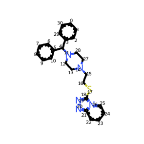 c1ccc(C(c2ccccc2)N2CCN(CCSc3nnc4ccccn34)CC2)cc1